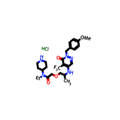 CCN(C(=O)COCC(C)Nc1cnn(Cc2ccc(OC)cc2)c(=O)c1C(F)(F)F)C1CCNCC1.Cl